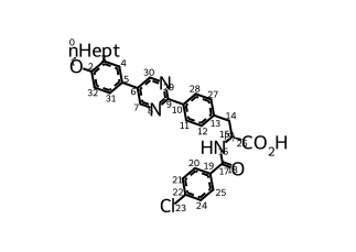 CCCCCCCOc1ccc(-c2cnc(-c3ccc(C[C@H](NC(=O)c4ccc(Cl)cc4)C(=O)O)cc3)nc2)cc1